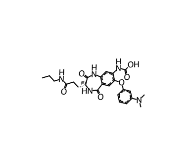 CCCNC(=O)CC[C@H]1NC(=O)c2cc(Oc3cccc(N(C)C)c3)c(NC(=O)O)cc2NC1=O